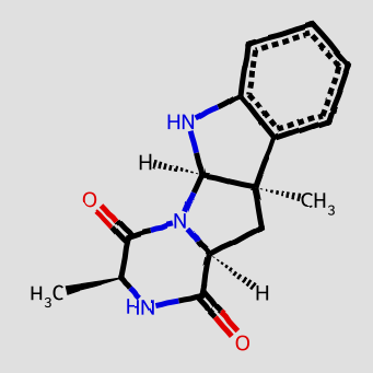 C[C@@H]1NC(=O)[C@@H]2C[C@]3(C)c4ccccc4N[C@@H]3N2C1=O